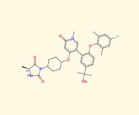 Cc1cc(F)cc(C)c1Oc1ccc(C(C)(C)O)cc1-c1cn(C)c(=O)cc1OC1CCC(N2C(=O)N[C@@H](C)C2=O)CC1